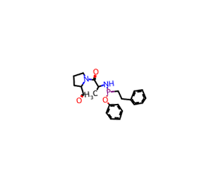 CC(NP(CCc1ccccc1)Oc1ccccc1)C(=O)N1CCCC1C=O